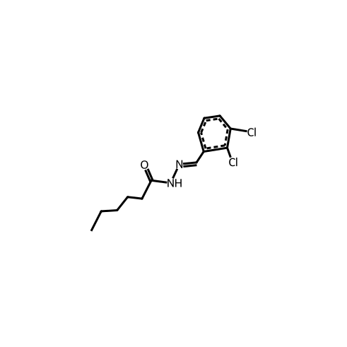 CCCCCC(=O)N/N=C/c1cccc(Cl)c1Cl